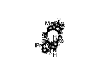 CCn1c(-c2cccnc2[C@H](C)OC)c2c3cc(ccc31)-c1csc(n1)C[C@H](NC(=O)C(C(C)C)N1CCC[C@@H](N(C)C(=O)[C@H]3CN3)C1)C(=O)N1CCC[C@H](N1)C(=O)OCC(C)(C)C2